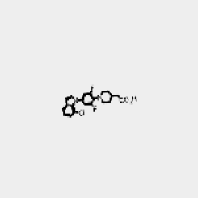 O=C(O)CC1CCN(c2c(F)cc(-n3ccc4cccc(Cl)c43)cc2F)CC1